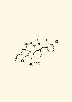 CC(=O)c1cc(Nc2cc(C)[nH]n2)nc(C[C@@]2(C(=O)O)CCN(Cc3cccc(Cl)c3F)[C@H](C)C2)c1Cl